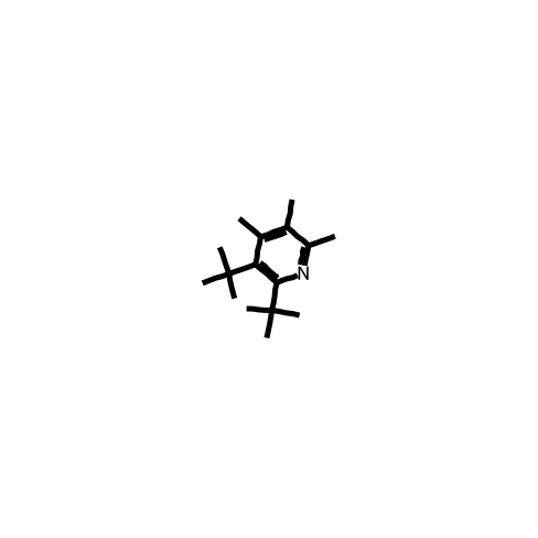 Cc1nc(C(C)(C)C)c(C(C)(C)C)c(C)c1C